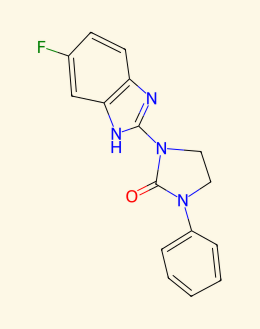 O=C1N(c2ccccc2)CCN1c1nc2ccc(F)cc2[nH]1